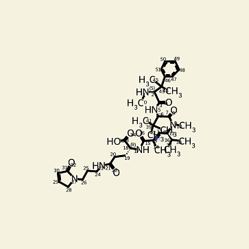 CN[C@H](C(=O)N[C@H](C(=O)N(C)[C@H](/C=C(\C)C(=O)N[C@H](CCC(=O)NCCCN1CC=CC1=O)C(=O)O)C(C)C)C(C)(C)C)C(C)(C)c1ccccc1